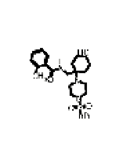 CCCS(=O)(=O)N1CCN(C2(CNC(=O)c3ccccc3C)CCCCC2)CC1.Cl